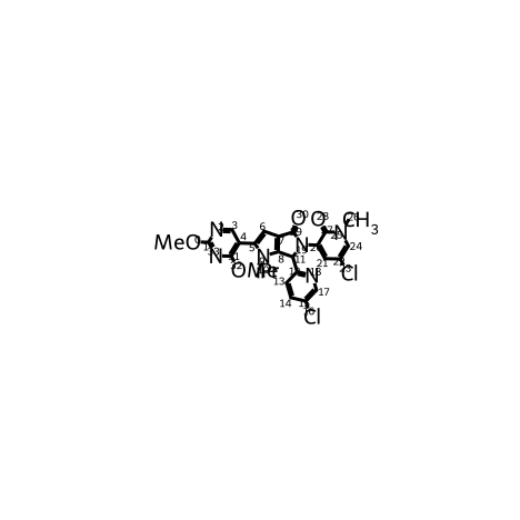 COc1ncc(-c2cc3c(n2C(C)C)C(c2ccc(Cl)cn2)N(c2cc(Cl)cn(C)c2=O)C3=O)c(OC)n1